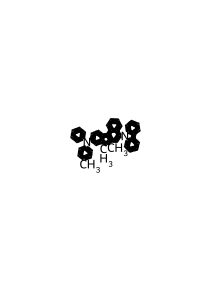 Cc1ccc(N(c2ccccc2)c2ccc3c(c2)C(C)(C)c2cc(-n4c5ccccc5c5ccccc54)c4ccccc4c2-3)cc1